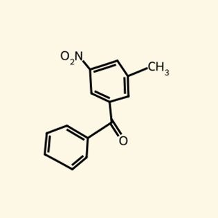 Cc1cc(C(=O)c2ccccc2)cc([N+](=O)[O-])c1